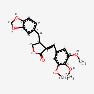 COc1cc(/C=C2\C(=O)OCC2Cc2ccc3c(c2)OCO3)cc(OC)c1OC